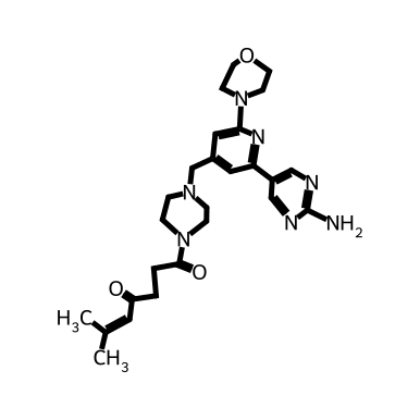 CC(C)=CC(=O)CCC(=O)N1CCN(Cc2cc(-c3cnc(N)nc3)nc(N3CCOCC3)c2)CC1